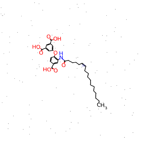 CCCCCCCCCCC/C=C\CCCCC(=O)Nc1cc(C(=O)O)ccc1Oc1cc(C(=O)O)cc(C(=O)O)c1